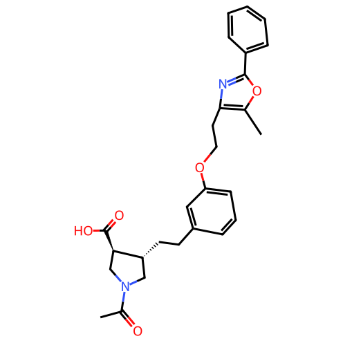 CC(=O)N1C[C@@H](CCc2cccc(OCCc3nc(-c4ccccc4)oc3C)c2)[C@H](C(=O)O)C1